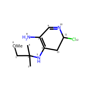 COCC(C)(C)NC1=C(N)C=NC(Cl)C1